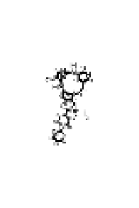 CN(Cc1ccc2cc1CCc1cncc(c1)Nc1ncc(Cl)c(n1)N2)C(=O)C1CCN(c2ncccn2)CC1